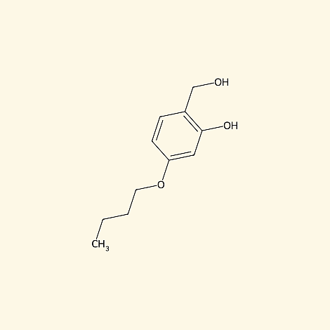 CCCCOc1ccc(CO)c(O)c1